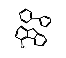 Nc1cccc2c1-c1ccccc1C2.c1ccc(-c2ccccc2)cc1